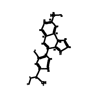 CCC(O)c1cc(C)c(-c2cc3cnc(NC)cc3n3ccnc23)cn1